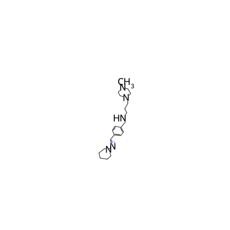 CN1CCN(CCCNCc2ccc(/C=N/N3CCCCC3)cc2)CC1